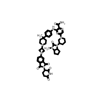 CN1C(=O)N(C2CCCN(c3cnc(C(N)=O)c(Nc4ccc(C5(C)CCN(C6CN(c7ccc8c(c7)C(=O)N(C7CCC(=O)NC7=O)C8=O)C6)CC5)cc4)n3)C2)C2CCCC21